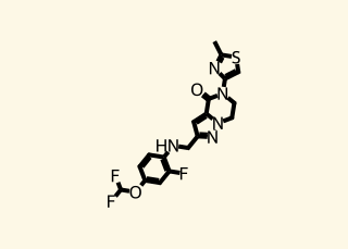 Cc1nc(N2CCn3nc(CNc4ccc(OC(F)F)cc4F)cc3C2=O)cs1